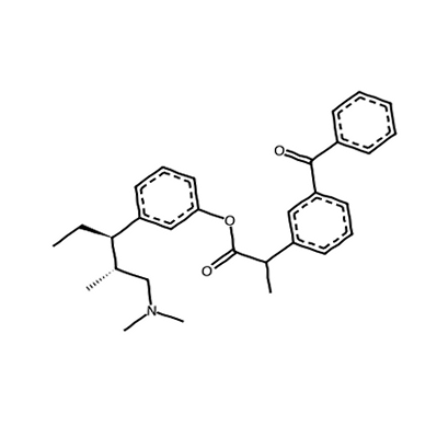 CC[C@@H](c1cccc(OC(=O)C(C)c2cccc(C(=O)c3ccccc3)c2)c1)[C@@H](C)CN(C)C